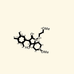 COCCON1C(=O)C(c2cc(C)c(C)cc2C)=C(O)C12CCN(OC)CC2